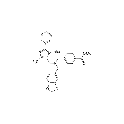 CCCCn1c(-c2ccccc2)nc(C(F)(F)F)c1CN(Cc1ccc(C(=O)OC)cc1)Cc1ccc2c(c1)OCO2